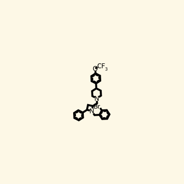 FC(F)(F)Oc1ccc(C2CCN(CC3CC(c4ccccc4)N3Cc3ccccc3Br)CC2)cc1